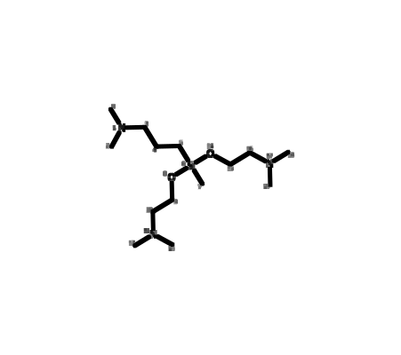 CN(C)CCC[Si](C)(OCCN(C)C)OCCN(C)C